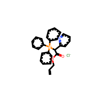 C=CCOC(=O)C(c1ccccn1)[P+](c1ccccc1)(c1ccccc1)c1ccccc1.[Cl-]